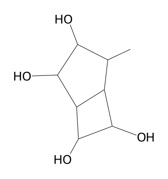 CC1C(O)C(O)C2C(O)C(O)C12